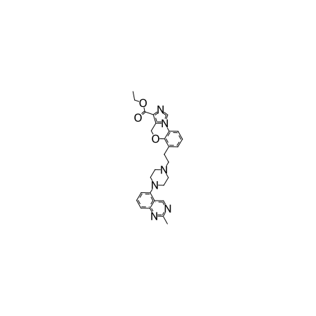 CCOC(=O)c1ncn2c1COc1c(CCN3CCN(c4cccc5nc(C)ncc45)CC3)cccc1-2